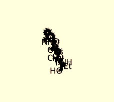 CCC(CCO)Nc1ncc(Cl)c(-c2ccc3c(c2)C(=O)N(CC(=O)N2CCc4ccccc4C(CN)C2)C3)n1